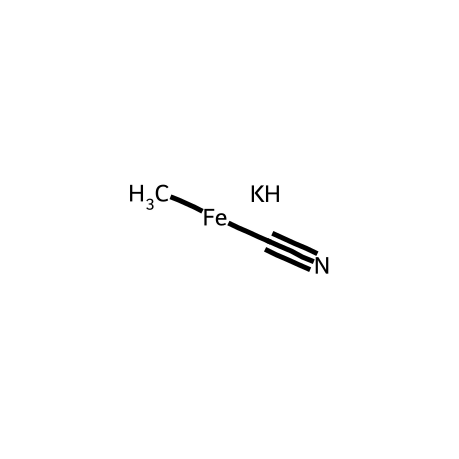 [CH3][Fe][C]#N.[KH]